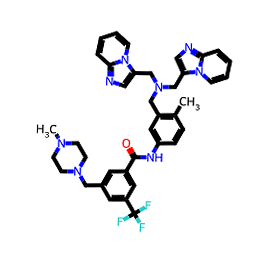 Cc1ccc(NC(=O)c2cc(CN3CCN(C)CC3)cc(C(F)(F)F)c2)cc1CN(Cc1cnc2ccccn12)Cc1cnc2ccccn12